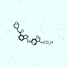 O=C(O)C[C@@H]1COc2cc(O[C@@H]3CCc4c(C(=O)CC5CCOCC5)cccc43)ccc21